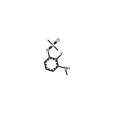 CNc1cccc(N=S(C)(C)=O)c1F